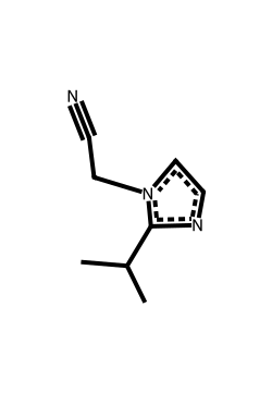 CC(C)c1nccn1CC#N